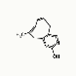 C/C1=C\C=C/Cc2cnc(O)nc2C1